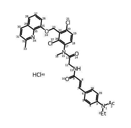 CCN(C(C)=O)c1ccc(C=CC(=O)NCC(=O)N(C)c2ccc(Cl)c(COc3cccc4ccc(C)nc34)c2Cl)cc1.Cl